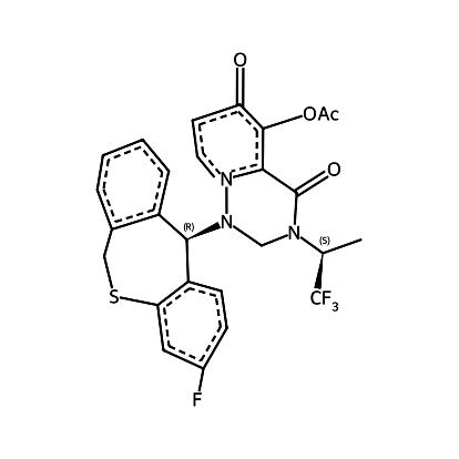 CC(=O)Oc1c2n(ccc1=O)N([C@@H]1c3ccccc3CSc3cc(F)ccc31)CN([C@@H](C)C(F)(F)F)C2=O